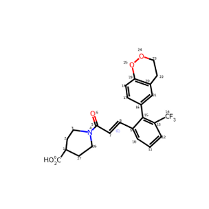 O=C(O)C1CCN(C(=O)/C=C/c2cc[c]c(C(F)(F)F)c2-c2ccc3c(c2)CCOO3)CC1